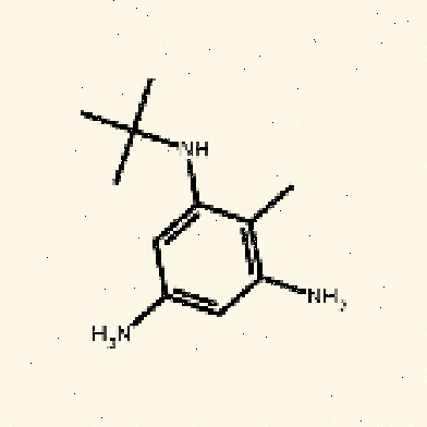 Cc1c(N)cc(N)cc1NC(C)(C)C